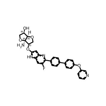 N[C@]12OC[C@@H](O)[C@H]1OC[C@H]2Oc1cc2nc(-c3ccc(-c4ccc(Oc5cccnc5)cc4)cc3)c(F)cc2[nH]1